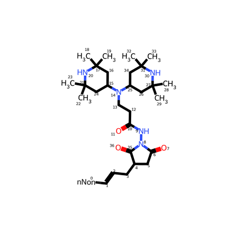 CCCCCCCCCC=CCC1CC(=O)N(NC(=O)CCN(C2CC(C)(C)NC(C)(C)C2)C2CC(C)(C)NC(C)(C)C2)C1=O